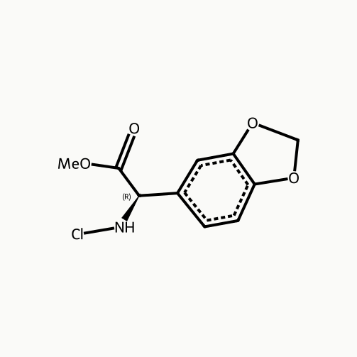 COC(=O)[C@H](NCl)c1ccc2c(c1)OCO2